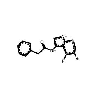 O=C(Cc1ccccc1)Nc1c[nH]c2ncc(Br)c(F)c12